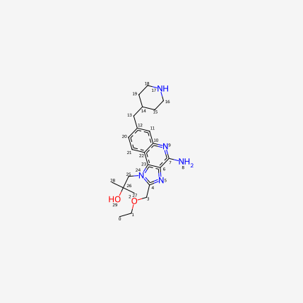 CCOCc1nc2c(N)nc3cc(CC4CCNCC4)ccc3c2n1CC(C)(C)O